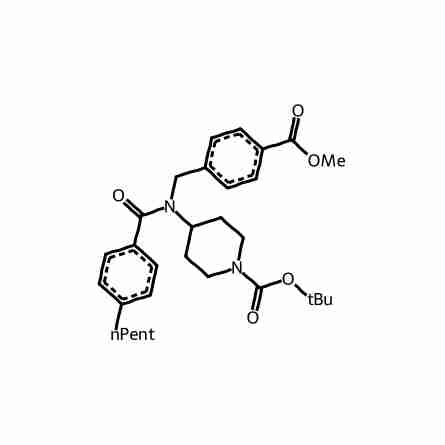 CCCCCc1ccc(C(=O)N(Cc2ccc(C(=O)OC)cc2)C2CCN(C(=O)OC(C)(C)C)CC2)cc1